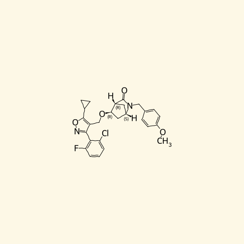 COc1ccc(CN2C(=O)[C@@H]3C[C@H]2C[C@H]3OCc2c(-c3c(F)cccc3Cl)noc2C2CC2)cc1